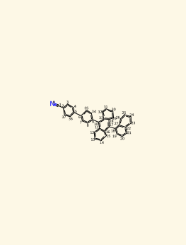 N#Cc1ccc(-c2ccc(-c3c4ccccc4c(-c4cccc5ccccc45)c4ccccc34)cc2)cc1